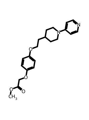 COC(=O)COc1ccc(OCCC2CCN(c3ccncc3)CC2)cc1